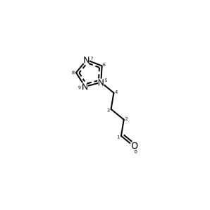 O=CCCCn1cncn1